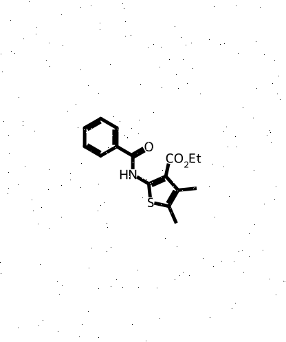 CCOC(=O)c1c(NC(=O)c2ccccc2)sc(C)c1C